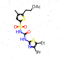 CCc1sc(NC(=O)NS(=O)(=O)c2cc(C)c(CCOC(C)=O)s2)nc1C(C)C